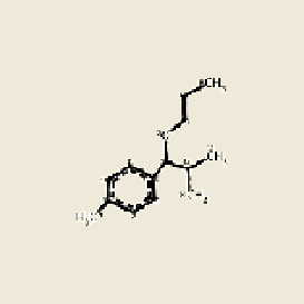 CCCOC(c1ccc(C)cc1)C(C)C